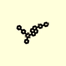 c1ccc(-c2ccc(-c3nc(-c4ccccc4)nc(-c4ccc5ccc6c(-c7ccc(-c8ccncc8)cn7)ccc7ccc4c5c76)n3)cc2)cc1